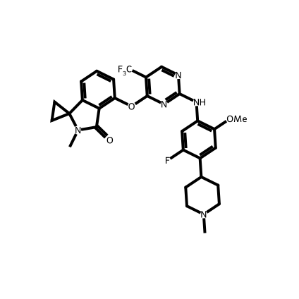 COc1cc(C2CCN(C)CC2)c(F)cc1Nc1ncc(C(F)(F)F)c(Oc2cccc3c2C(=O)N(C)C32CC2)n1